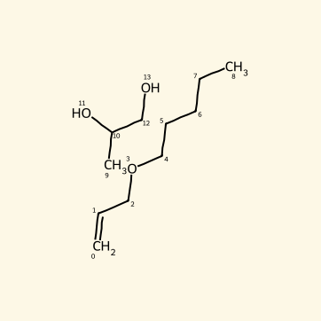 C=CCOCCCCC.CC(O)CO